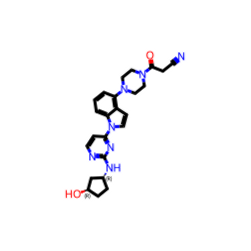 N#CCC(=O)N1CCN(c2cccc3c2ccn3-c2ccnc(N[C@@H]3CC[C@@H](O)C3)n2)CC1